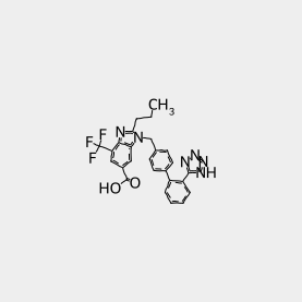 CCCc1nc2c(C(F)(F)F)cc(C(=O)O)cc2n1Cc1ccc(-c2ccccc2-c2nnn[nH]2)cc1